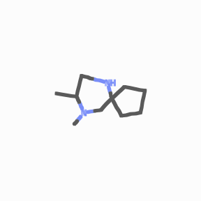 CC1CNC2(CCCC2)CN1C